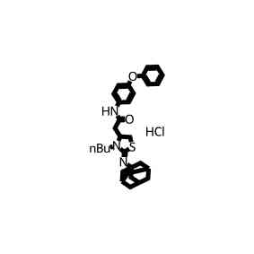 CCCCN1C(=NC23CC4CC(CC(C4)C2)C3)SCC1CC(=O)Nc1ccc(Oc2ccccc2)cc1.Cl